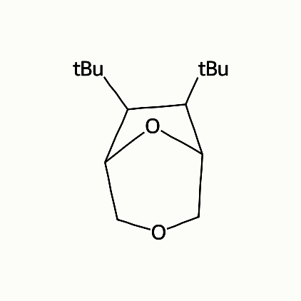 CC(C)(C)C1C2COCC(O2)C1C(C)(C)C